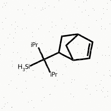 CC(C)C([SiH3])(C(C)C)C1CC2C=CC1C2